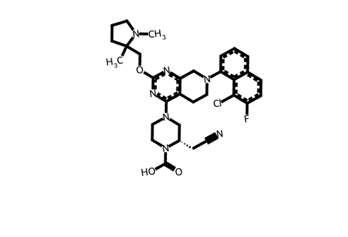 CN1CCCC1(C)COc1nc2c(c(N3CCN(C(=O)O)[C@@H](CC#N)C3)n1)CCN(c1cccc3ccc(F)c(Cl)c13)C2